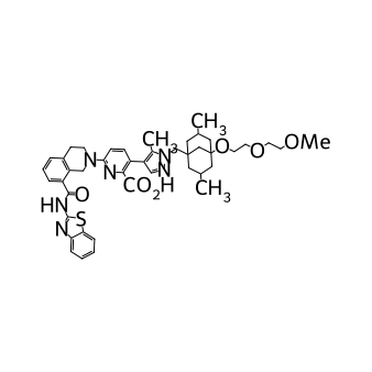 COCCOCCOC12CC(C)CC(Cn3ncc(-c4ccc(N5CCc6cccc(C(=O)Nc7nc8ccccc8s7)c6C5)nc4C(=O)O)c3C)(CC(C)C1)C2